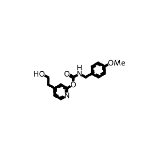 COc1ccc(CNC(=O)Oc2cc(CCO)ccn2)cc1